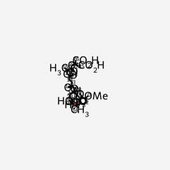 COc1ccc2c3c1O[C@H]1C(OC(=O)CCC(=O)OC(C)C(=O)OC(CC(=O)O)C(=O)O)=CC[C@@]4(O)[C@@H](C2)N(C)CC[C@]314